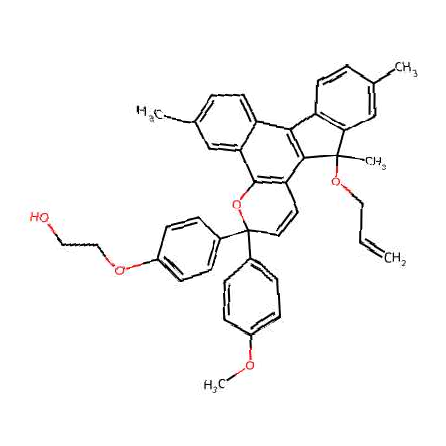 C=CCOC1(C)c2cc(C)ccc2-c2c1c1c(c3cc(C)ccc23)OC(c2ccc(OC)cc2)(c2ccc(OCCO)cc2)C=C1